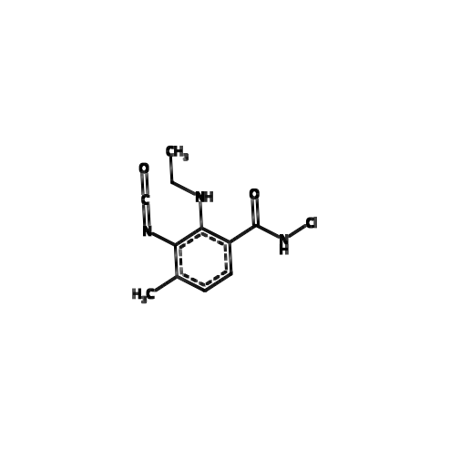 CCNc1c(C(=O)NCl)ccc(C)c1N=C=O